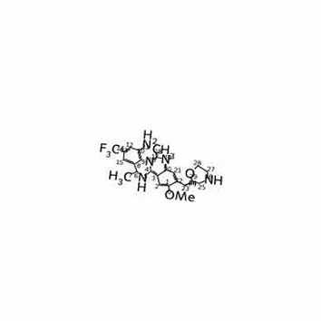 COc1cc2c(NC(C)c3cc(N)cc(C(F)(F)F)c3)nc(C)nc2cc1C[C@@H]1CNCCO1